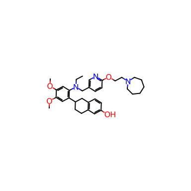 CCN(Cc1ccc(OCCN2CCCCCC2)nc1)c1cc(OC)c(OC)cc1C1CCc2cc(O)ccc2C1